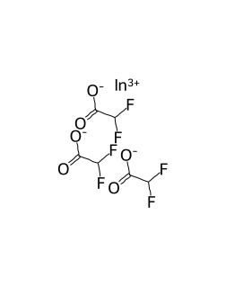 O=C([O-])C(F)F.O=C([O-])C(F)F.O=C([O-])C(F)F.[In+3]